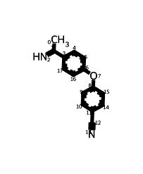 CC(=N)c1ccc(Oc2ccc(C#N)cc2)cc1